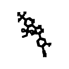 CCS(=O)(=O)c1cc(C(F)(F)F)cnc1-c1nnc(-c2ccc(C#N)c(F)c2)n1C